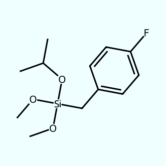 CO[Si](Cc1ccc(F)cc1)(OC)OC(C)C